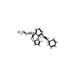 NSNC(=O)c1cccc(C#Cc2ccccc2)c1-n1cccc1